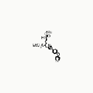 CCOC(=O)C(CCCNC(=O)OC(C)(C)C)Cc1cn([C@H]2CC[C@H](Oc3ccncc3)CC2)cn1